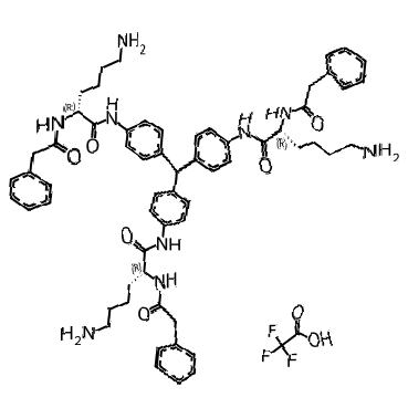 NCCCC[C@@H](NC(=O)Cc1ccccc1)C(=O)Nc1ccc(C(c2ccc(NC(=O)[C@@H](CCCCN)NC(=O)Cc3ccccc3)cc2)c2ccc(NC(=O)[C@@H](CCCCN)NC(=O)Cc3ccccc3)cc2)cc1.O=C(O)C(F)(F)F